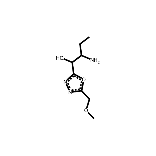 CCC(N)C(O)c1nnc(COC)o1